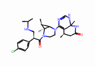 CC(C)NC[C@@H](C(=O)N1CCN(C2=C3[C@H](C)CC(=O)NC3(C)NC=N2)C2[C@@H]1[C@H]2C)c1ccc(Cl)cc1